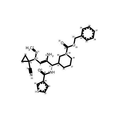 C=NN(/C=C(\N)[C@@H](NC(=O)c1ccsc1)C1CCCN(C(=O)OCc2ccccc2)C1)C1(C#N)CC1